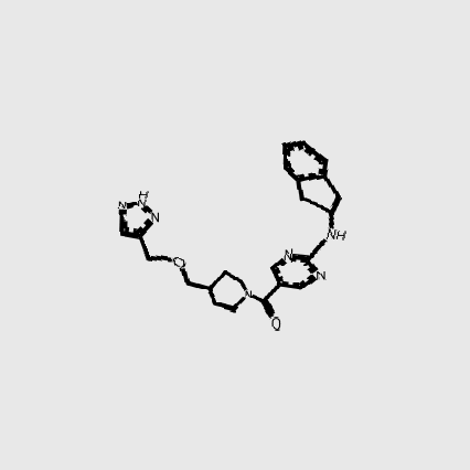 O=C(c1cnc(NC2Cc3ccccc3C2)nc1)N1CCC(COCc2cn[nH]n2)CC1